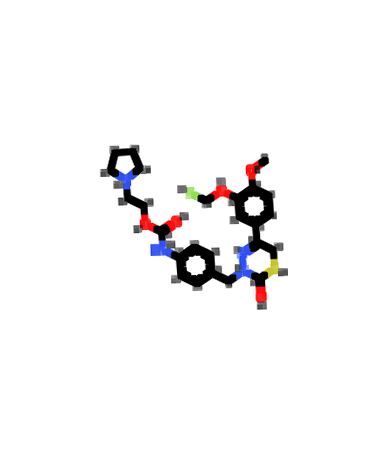 COc1ccc(C2=NN(Cc3ccc(NC(=O)OCCN4CCCC4)cc3)C(=O)SC2)cc1OCF